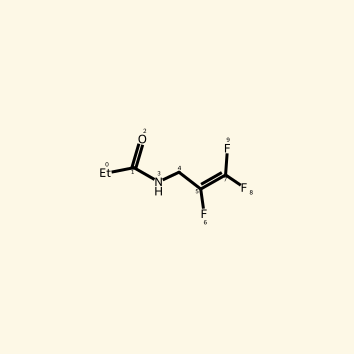 CCC(=O)NCC(F)=C(F)F